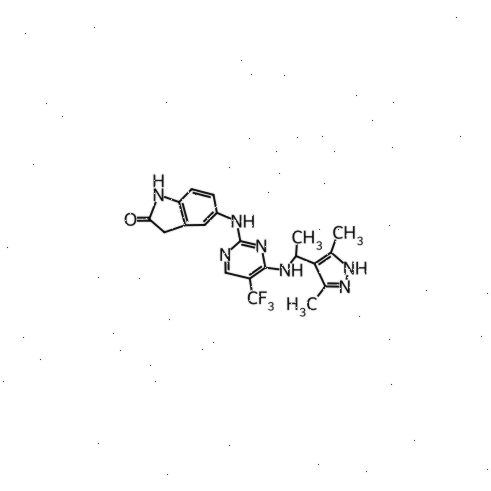 Cc1n[nH]c(C)c1C(C)Nc1nc(Nc2ccc3c(c2)CC(=O)N3)ncc1C(F)(F)F